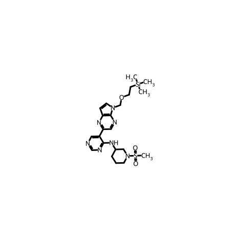 C[Si](C)(C)CCOCn1ccc2nc(-c3cncnc3NC3CCCN(S(C)(=O)=O)C3)cnc21